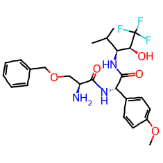 COc1ccc([C@H](NC(=O)[C@@H](N)COCc2ccccc2)C(=O)N[C@@H](C(C)C)[C@H](O)C(F)(F)F)cc1